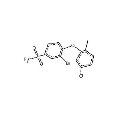 Cc1ccc(Cl)cc1Oc1ccc(S(=O)(=O)C(F)(F)F)cc1Br